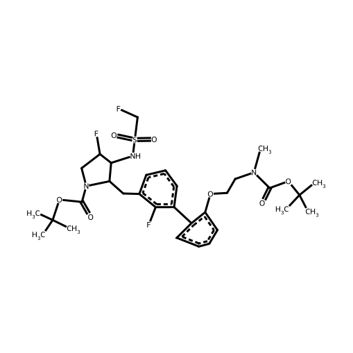 CN(CCOc1ccccc1-c1cccc(CC2C(NS(=O)(=O)CF)C(F)CN2C(=O)OC(C)(C)C)c1F)C(=O)OC(C)(C)C